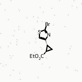 CCOC(=O)[C@@H]1C[C@H]1c1csc(Br)n1